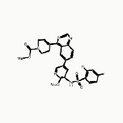 COc1ncc(-c2ccc3ncnc(C4=CCN(C(=O)OC(C)(C)C)CC4)c3c2)cc1NS(=O)(=O)c1ccc(F)cc1F